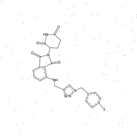 O=C1CCC(N2C(=O)c3cccc(NCc4cn(Cc5ccc(F)cc5)nn4)c3C2=O)C(=O)N1